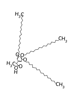 CCCCCCCCCCCCCCCCCCOc1cc(C(C)C(=O)O)cc(OCCCCCCCCCCCCCCCCCC)c1OCCCCCCCCCCCCCCCCCC